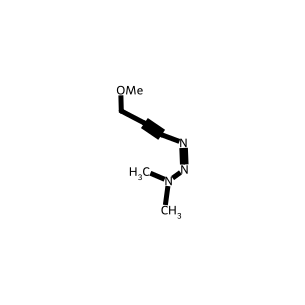 COCC#C/N=N\N(C)C